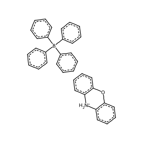 c1ccc([B-](c2ccccc2)(c2ccccc2)c2ccccc2)cc1.c1ccc2c(c1)[NH2+]c1ccccc1O2